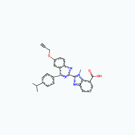 C#CCOc1ccc2nc(-c3nc4cccc(C(=O)O)c4n3C)nc(-c3ccc(C(C)C)cc3)c2c1